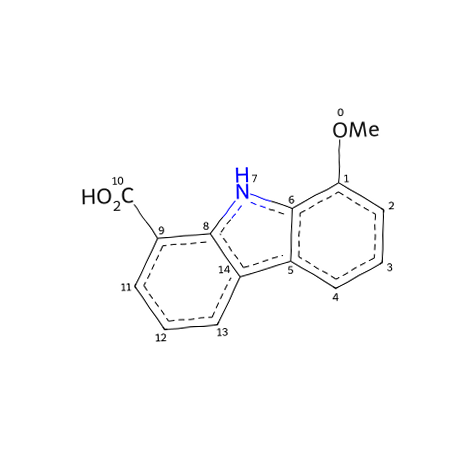 COc1cccc2c1[nH]c1c(C(=O)O)cccc12